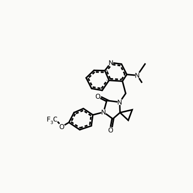 CN(C)c1cnc2ccccc2c1CN1C(=O)N(c2ccc(OC(F)(F)F)cc2)C(=O)C12CC2